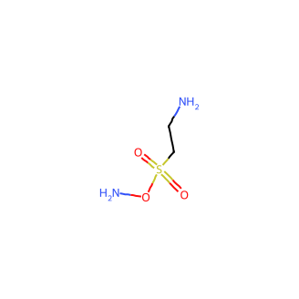 NCCS(=O)(=O)ON